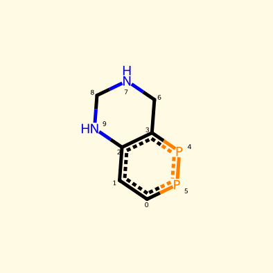 c1cc2c(pp1)CNCN2